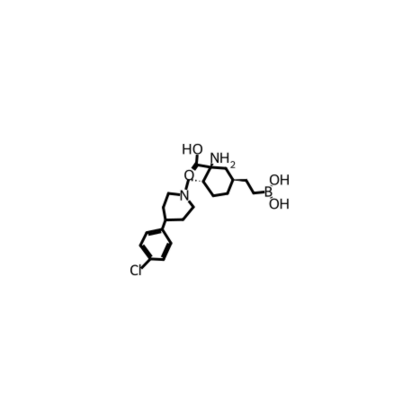 N[C@@]1(C(=O)O)C[C@@H](CCB(O)O)CC[C@@H]1CN1CCC(c2ccc(Cl)cc2)CC1